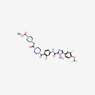 Cn1c(-c2ccc(OC(F)F)c(F)c2F)cnc1C(=O)Nc1ccc(C(=O)N2CCN(C(=O)CN3CCN(C(=O)OC(C)(C)C)CC3)CC2)c(Cl)c1